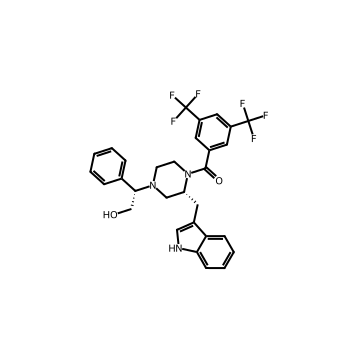 O=C(c1cc(C(F)(F)F)cc(C(F)(F)F)c1)N1CCN([C@H](CO)c2ccccc2)C[C@H]1Cc1c[nH]c2ccccc12